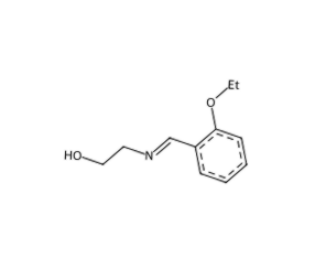 CCOc1ccccc1C=NCCO